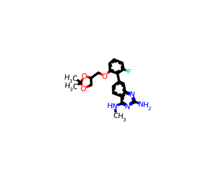 CNc1nc(N)nc2cc(-c3c(F)cccc3OCC3COC(C)(C)O3)ccc12